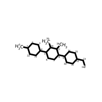 CC1CCC(C2CCC(C3CCC(CI)CC3)C(C)C2C)CC1